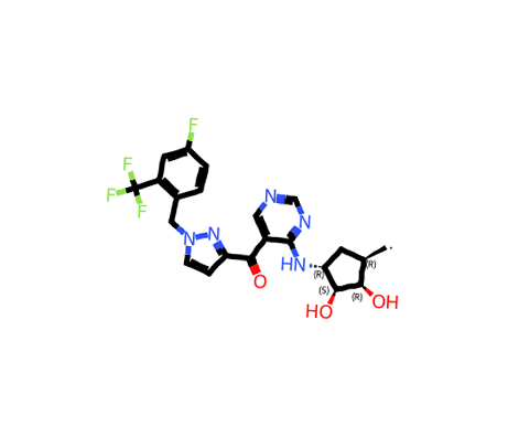 [CH2][C@@H]1C[C@@H](Nc2ncncc2C(=O)c2ccn(Cc3ccc(F)cc3C(F)(F)F)n2)[C@H](O)[C@@H]1O